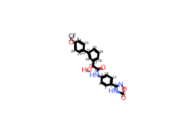 O=C(Nc1ccc(-c2noc(=O)[nH]2)cc1)C(O)c1cccc(-c2ccc(OC(F)(F)F)cc2)c1